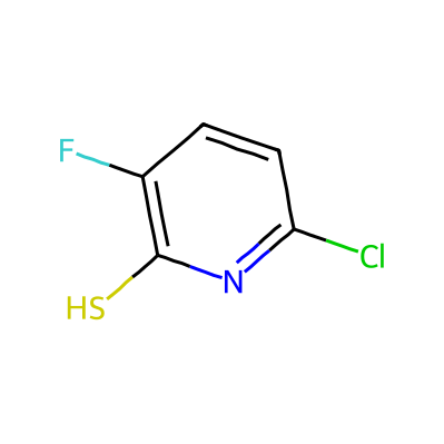 Fc1ccc(Cl)nc1S